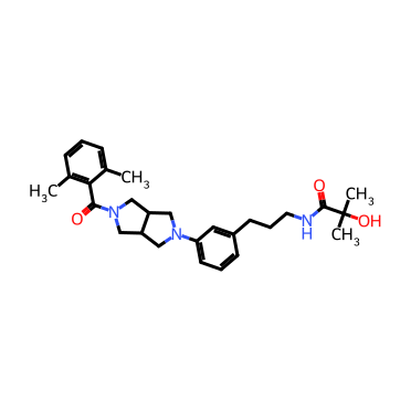 Cc1cccc(C)c1C(=O)N1CC2CN(c3cccc(CCCNC(=O)C(C)(C)O)c3)CC2C1